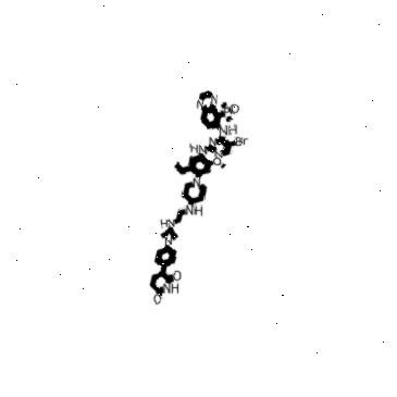 CCc1cc(Nc2ncc(Br)c(Nc3ccc4nccnc4c3P(C)(C)=O)n2)c(OC)cc1N1CCC(NCCNC2CN(c3ccc(C4CCC(=O)NC4=O)cc3)C2)CC1